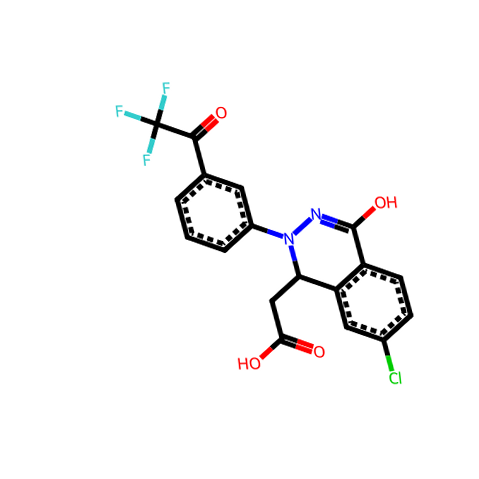 O=C(O)CC1c2cc(Cl)ccc2C(O)=NN1c1cccc(C(=O)C(F)(F)F)c1